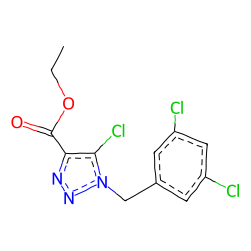 CCOC(=O)c1nnn(Cc2cc(Cl)cc(Cl)c2)c1Cl